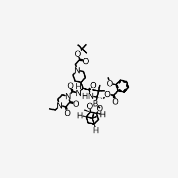 CCN1CCN(C(=O)NC(C(=O)N[C@](COC(=O)c2ccccc2OC)(B2O[C@@H]3C[C@@H]4C[C@@H](C4(C)C)[C@]3(C)O2)C(C)(C)C)C2CCN(CC(=O)OC(C)(C)C)CC2)C(=O)C1=O